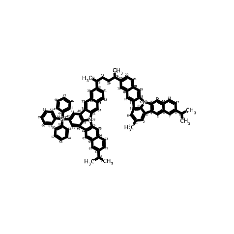 Cc1cc2c3cc4cc(C(C)C)ccc4cc3n3c4cc5ccc(C(C)CCC(C)c6ccc7cc8c(cc7c6)c6cc([Si](c7ccccc7)(c7ccccc7)c7ccccc7)cc7c9cc%10cc(C(C)C)ccc%10cc9n8c76)cc5cc4c(c1)c23